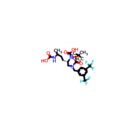 CC(CC[C@@H](CN(Cc1cc(C(F)(F)F)cc(C(F)(F)F)c1)C(=O)OC(C)(C)C)NC(=O)O)NC(=O)O